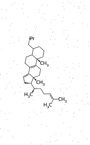 CC(C)=CCC[C@@H](C)[C@H]1CC=C2C3=C(CC[C@@]21C)[C@@]1(C)CCCC(CC(C)C)C1CC3